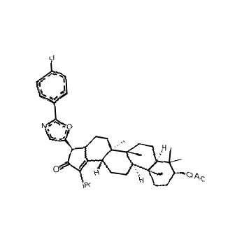 CC(=O)O[C@H]1CC[C@]2(C)[C@H]3CC[C@@H]4C5=C(C(C)C)C(=O)[C@@H](c6cnc(-c7ccc(Cl)cc7)o6)C5CC[C@@]4(C)[C@]3(C)CC[C@H]2C1(C)C